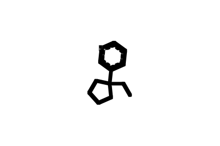 CCC1(c2cccnc2)CCCC1